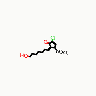 CCCCCCCCC1C=C(Cl)C(=O)/C1=C\CCCCCCO